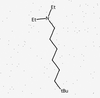 CCN(CC)CCCCCCC(C)(C)C